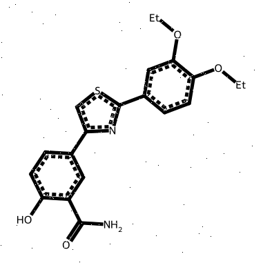 CCOc1ccc(-c2nc(-c3ccc(O)c(C(N)=O)c3)cs2)cc1OCC